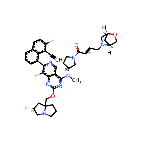 C#Cc1c(F)ccc2cccc(-c3ncc4c(N(C)[C@@H]5CCN(C(=O)/C=C/CN6C[C@@H]7C[C@H]6CO7)C5)nc(OCC56CCCN5C[C@H](F)C6)nc4c3F)c12